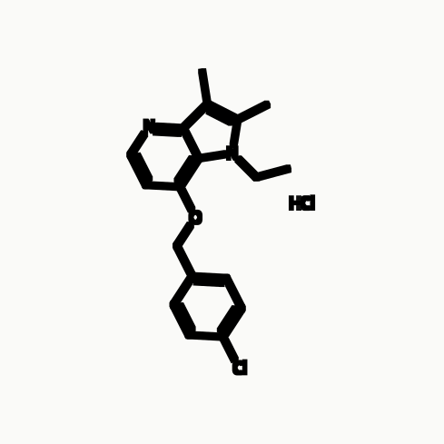 CCn1c(C)c(C)c2nccc(OCc3ccc(Cl)cc3)c21.Cl